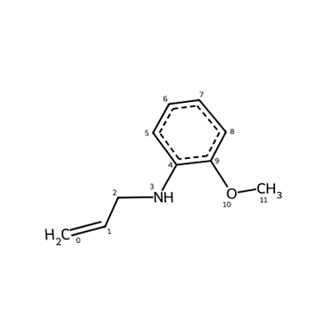 C=CCNc1ccccc1OC